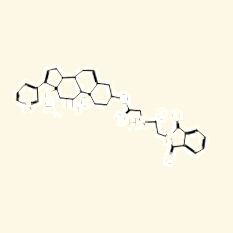 CC12CCC(OC(=O)CNC(=O)CN3C(=O)c4ccccc4C3=O)CC1=CCC1C2CCC2(C)C(c3cccnc3)=CCC12